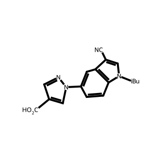 CCC(C)n1cc(C#N)c2cc(-n3cc(C(=O)O)cn3)ccc21